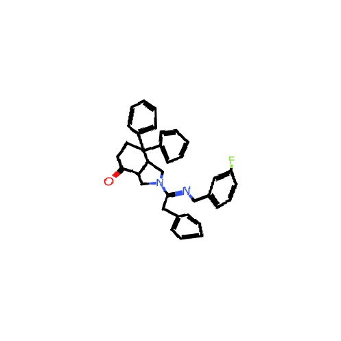 O=C1CCC(c2ccccc2)(c2ccccc2)C2CN(C(Cc3ccccc3)=NCc3cccc(F)c3)CC12